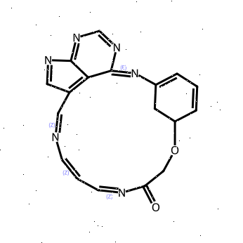 O=C1COC2C=CC=C(C2)/N=c2/ncnc3c2=C(C=N3)\C=N/C=C\C=N/1